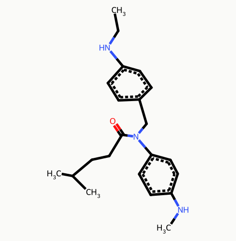 CCNc1ccc(CN(C(=O)CCC(C)C)c2ccc(NC)cc2)cc1